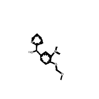 COCOc1ccc(C(O)c2ccccn2)cc1N(C)C